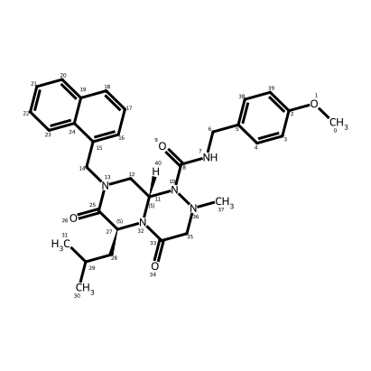 COc1ccc(CNC(=O)N2[C@H]3CN(Cc4cccc5ccccc45)C(=O)[C@H](CC(C)C)N3C(=O)CN2C)cc1